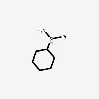 CC(C)[SiH](N)C1CCCCC1